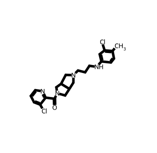 Cc1ccc(NCCCN2CC3CN(C(=O)c4ncccc4Cl)CC3C2)cc1Cl